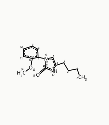 CCCCc1cn(-c2ccccc2OC)c(=O)[nH]1